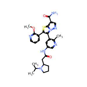 COc1ncccc1-c1sc2c(C(N)=O)cnn2c1-c1cc(NC(=O)CC2CCCN2C(C)C)cnc1C